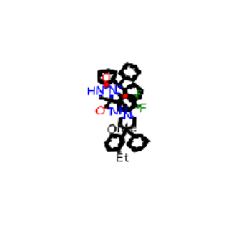 CCc1ccc(OC)c(C2(c3ccccc3)CCN(CCC[N+]3(C(c4ccccc4)(c4ccccc4)c4ccccc4)C(=O)NCC3(C(N)=O)c3ccc(F)c(F)c3)CC2)c1